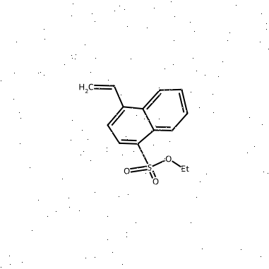 C=Cc1ccc(S(=O)(=O)OCC)c2ccccc12